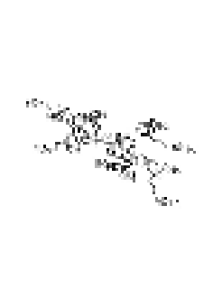 CCCCCCCCCCCCCC(=O)C[C@H](CCCCCCCCCCC)CC(=O)N[C@H]1C(OC(=O)C[C@@H](CCCCCCCCCCC)OC(=O)CCCCCCCCCCCCC)[C@H](OP(=O)(O)O)C(CO)O[C@H]1OCC1O[C@H](O)C(NC(=O)C[C@H](O)CCCCCCCCCCC)[C@@H](OC(=O)C[C@H](O)CCCCCCCCCCC)[C@@H]1O